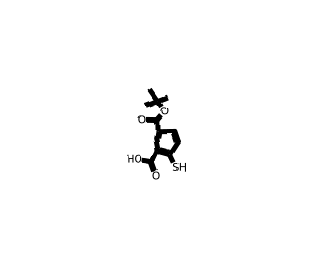 CC(C)(C)OC(=O)c1ccc(S)c(C(=O)O)c1